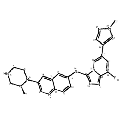 C[C@H]1CNCCN1c1cnc2ccc(Sc3nnc4c(F)cc(-c5cnn(C)c5)cn34)cc2c1